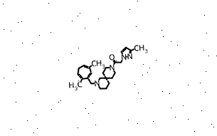 CC1=CCC=C(C)C(CN2CCCC3(CCN(C(=O)Cn4ccc(C)n4)CC3)C2)=C1